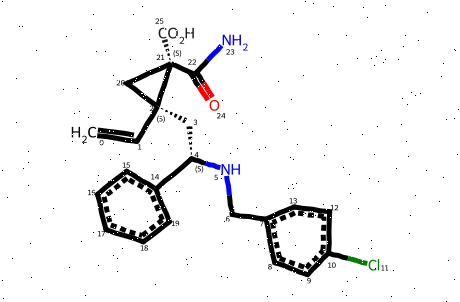 C=C[C@@]1(C[C@H](NCc2ccc(Cl)cc2)c2ccccc2)C[C@]1(C(N)=O)C(=O)O